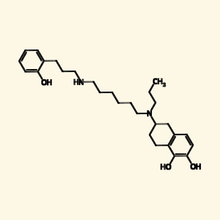 CCCN(CCCCCCNCCCc1ccccc1O)C1CCc2c(ccc(O)c2O)C1